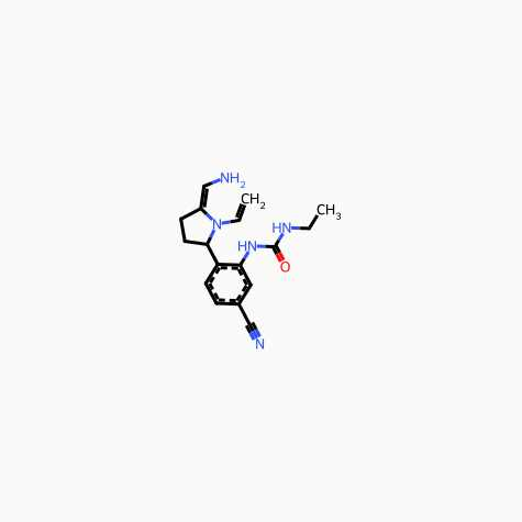 C=CN1/C(=C\N)CCC1c1ccc(C#N)cc1NC(=O)NCC